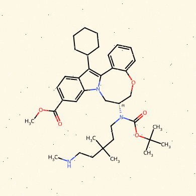 CNCCC(C)(C)CCN(C(=O)OC(C)(C)C)[C@H]1COc2ccccc2-c2c(C3CCCCC3)c3ccc(C(=O)OC)cc3n2C1